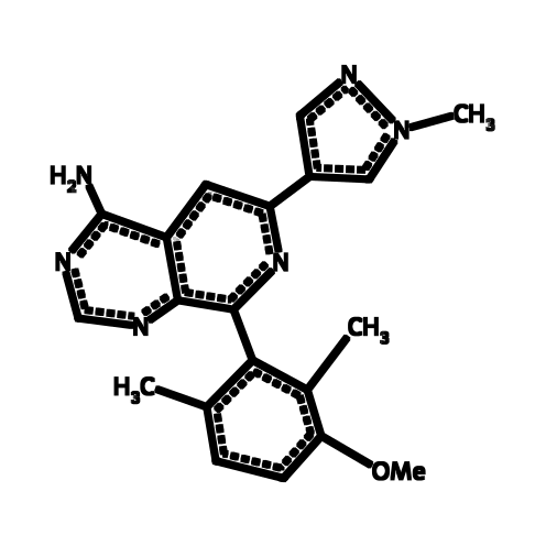 COc1ccc(C)c(-c2nc(-c3cnn(C)c3)cc3c(N)ncnc23)c1C